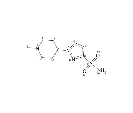 CN1CCC(n2ccc(S(N)(=O)=O)n2)CC1